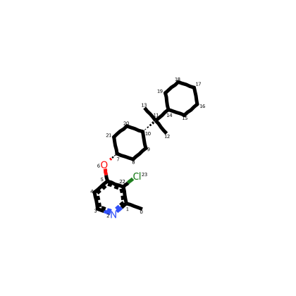 Cc1nccc(O[C@H]2CC[C@@H](C(C)(C)C3CCCCC3)CC2)c1Cl